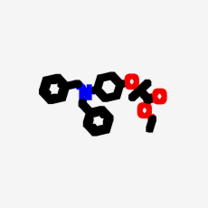 CCOC(=O)C(C)(C)OC1CCC(N(Cc2ccccc2)Cc2ccccc2)CC1